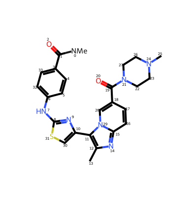 CNC(=O)c1ccc(Nc2nc(-c3c(C)nc4ccc(C(=O)N5CCN(C)CC5)cn34)cs2)cc1